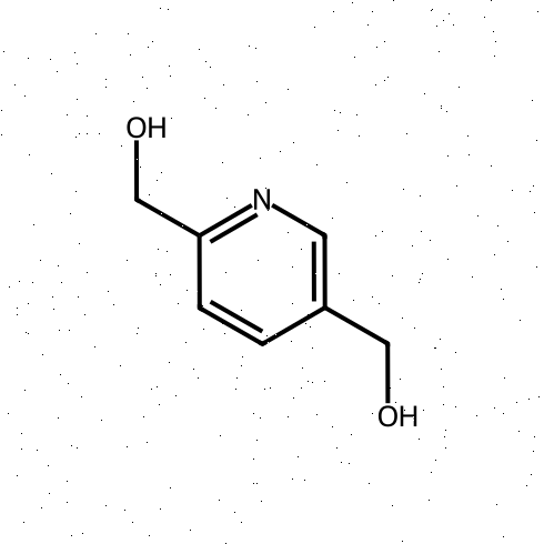 OCc1ccc(CO)nc1